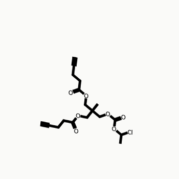 C#CCCC(=O)OCC(C)(COC(=O)CCC#C)COC(=O)OC(C)Cl